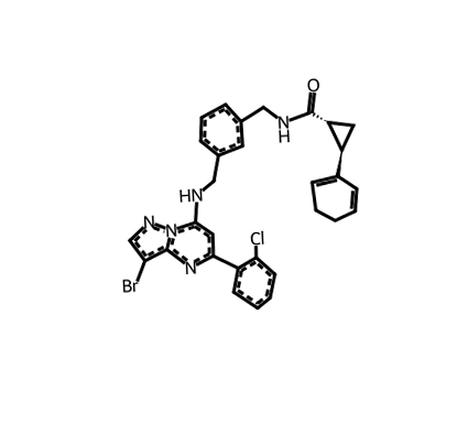 O=C(NCc1cccc(CNc2cc(-c3ccccc3Cl)nc3c(Br)cnn23)c1)[C@@H]1C[C@H]1C1=CCCC=C1